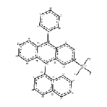 C[Si](C)(C)c1ccc2c(-c3ccccc3)c3ccccc3c(-c3cccc4ccccc34)c2c1